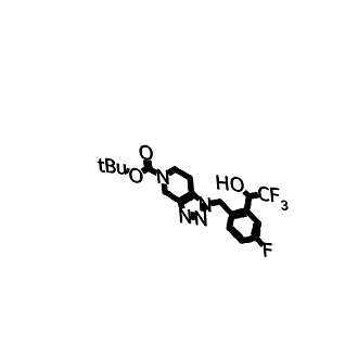 CC(C)(C)OC(=O)N1CCc2c(nnn2Cc2ccc(F)cc2C(O)C(F)(F)F)C1